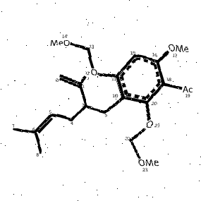 C=C(C)C(CC=C(C)C)Cc1c(OCOC)cc(OC)c(C(C)=O)c1OCOC